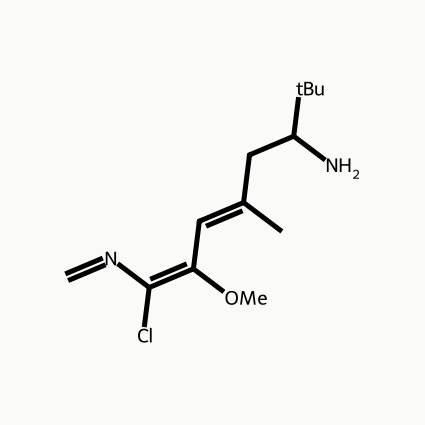 C=N/C(Cl)=C(\C=C(/C)CC(N)C(C)(C)C)OC